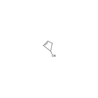 N#CC1[C]=CC1